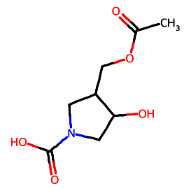 CC(=O)OCC1CN(C(=O)O)CC1O